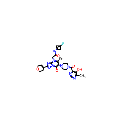 CCc1c(N2CCN(C(=O)c3ncnc(C)c3O)CC2)c(=O)n2nc(C3=CCOCC3)nc2n1CC(=O)NC12CC(F)(C1)C2